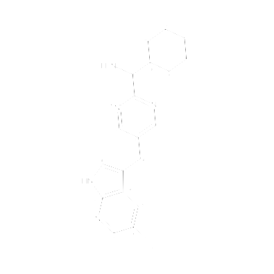 NC(c1ncc(Cc2c[nH]c3ncc(Cl)cc23)cn1)C1CCCCC1